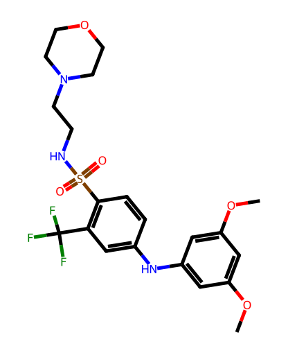 COc1cc(Nc2ccc(S(=O)(=O)NCCN3CCOCC3)c(C(F)(F)F)c2)cc(OC)c1